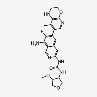 COC1COCC1NC(=O)Nc1cc2cc(-c3cnc4c(c3C)NCCO4)c(F)c(N)c2cn1